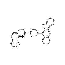 c1ccc2c(-c3ccc(-c4ccc5ccc6cccnc6c5n4)cc3)c3oc4ccccc4c3cc2c1